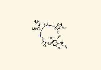 C=CCNc1c(O)cc2c(O)c1C[C@@H](C)CC(OC)[C@H](O)[C@@H](C)/C=C(\C)C(OC(N)=O)CC(OC)/C=C\C=C(/C)C(=O)N2